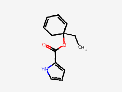 CCC1(OC(=O)c2ccc[nH]2)C=CC=CC1